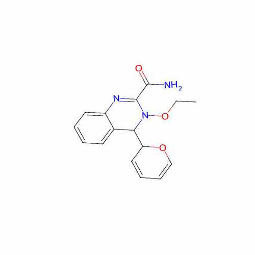 CCON1C(C(N)=O)=Nc2ccccc2C1C1C=CC=CO1